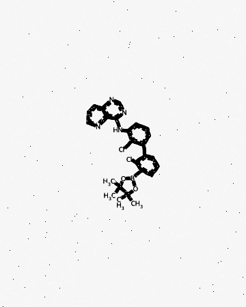 CC1(C)OB(c2cccc(-c3cccc(Nc4ncnc5cccnc45)c3Cl)c2Cl)OC1(C)C